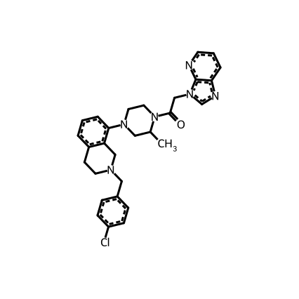 CC1CN(c2cccc3c2CN(Cc2ccc(Cl)cc2)CC3)CCN1C(=O)Cn1cnc2cccnc21